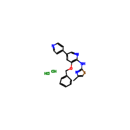 Cc1csc(Nc2ncc(-c3ccncc3)cc2OCc2ccccc2)n1.Cl.Cl